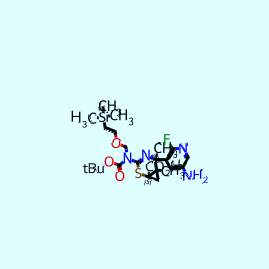 CC(C)(C)OC(=O)N(COCC[Si](C)(C)C)C1=N[C@](C)(c2cc(N)cnc2F)C2(C)C[C@]2(C(=O)O)S1